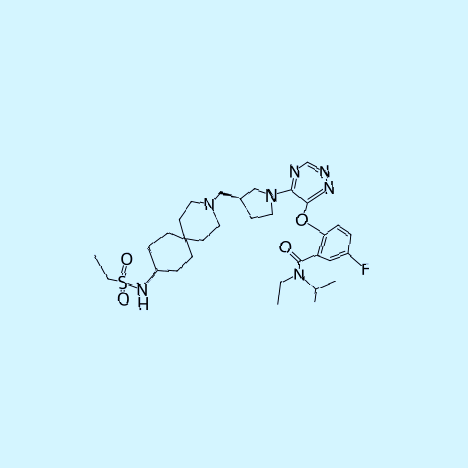 CCN(C(=O)c1cc(F)ccc1Oc1nncnc1N1CC[C@@H](CN2CCC3(CCC(NS(=O)(=O)CC)CC3)CC2)C1)C(C)C